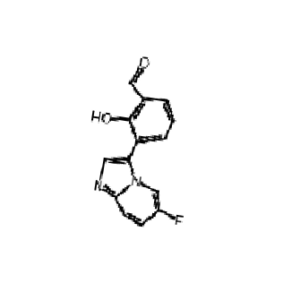 O=Cc1cccc(-c2cnc3ccc(F)cn23)c1O